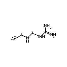 CC(=O)CNCNC(=N)N